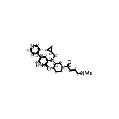 CNCC=CC(=O)N1CCC[C@@H](N(CC2CC2)c2cc(-c3ccncc3)c[nH]c2=O)C1